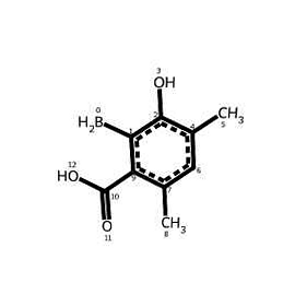 Bc1c(O)c(C)cc(C)c1C(=O)O